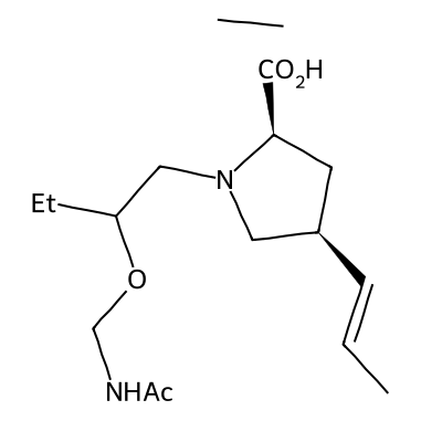 CC.CC=C[C@@H]1C[C@H](C(=O)O)N(CC(CC)OCNC(C)=O)C1